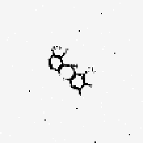 COc1ccc(F)c(Bc2c(F)cc(F)c(F)c2C)c1F